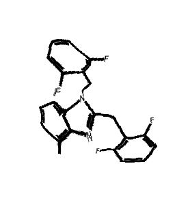 Cc1cccc2c1nc(Cc1c(F)cccc1F)n2Cc1c(F)cccc1F